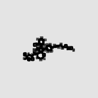 CS(=O)(=O)CC(=O)NC1CCCOc2c1nn(-c1ccccc1Cl)c2-c1ccc(C#CCCO[N+](=O)[O-])cc1